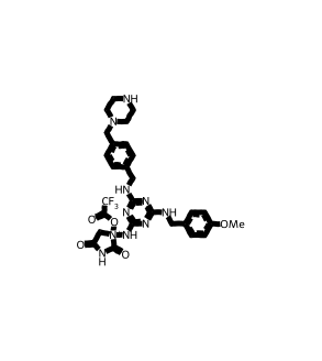 COc1ccc(CNc2nc(NCc3ccc(CN4CCNCC4)cc3)nc(N[N+]3(OC(=O)C(F)(F)F)CC(=O)NC3=O)n2)cc1